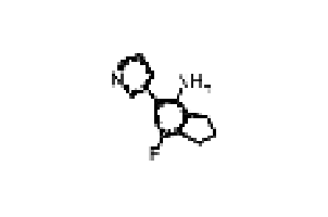 Nc1c(-c2cccnc2)cc(F)c2c1CCC2